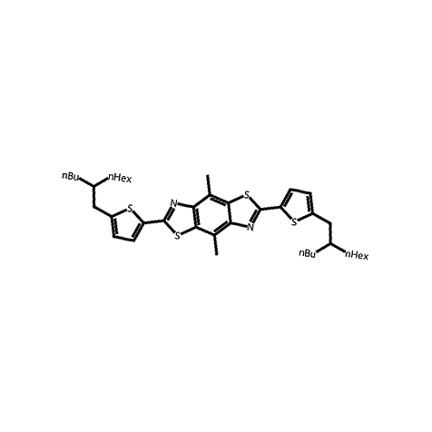 CCCCCCC(CCCC)Cc1ccc(-c2nc3c(C)c4sc(-c5ccc(CC(CCCC)CCCCCC)s5)nc4c(C)c3s2)s1